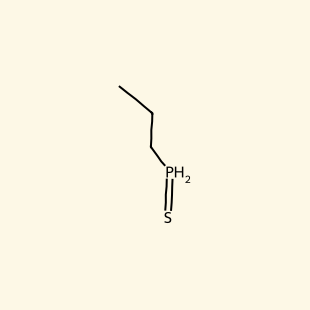 CCC[PH2]=S